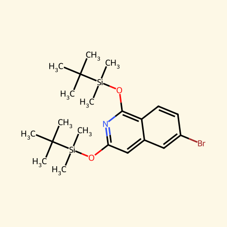 CC(C)(C)[Si](C)(C)Oc1cc2cc(Br)ccc2c(O[Si](C)(C)C(C)(C)C)n1